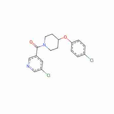 O=C(c1cncc(Cl)c1)N1CCC(Oc2ccc(Cl)cc2)CC1